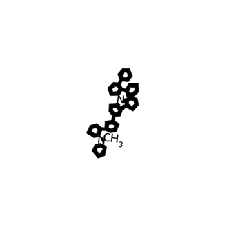 CN(c1ccccc1)c1ccccc1-c1cccc(-c2ccc3c(c2)c2ccccc2n3-c2cccc(-c3ccccc3)c2-c2ccccc2)c1